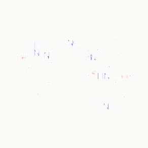 CC1(NC(=O)c2cccnc2)C(=O)N(c2cncc(Cc3n[nH]c(=O)c4ccccc34)c2)c2ccccc21